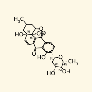 CC1CC(=O)[C@]2(O)C3=C(C=C[C@]2(O)C1)C(=O)c1c(ccc([C@H]2C[C@@H](O)[C@H](O)[C@@H](C)O2)c1O)C3=O